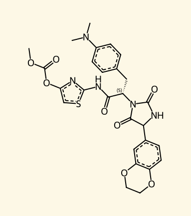 COC(=O)Oc1csc(NC(=O)[C@H](Cc2ccc(N(C)C)cc2)N2C(=O)NC(c3ccc4c(c3)OCCO4)C2=O)n1